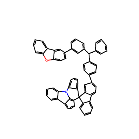 c1ccc(C(c2ccc(-c3ccc4c(c3)C3(c5ccccc5-4)c4ccccc4-n4c5ccccc5c5cccc3c54)cc2)c2cccc(-c3ccc4oc5ccccc5c4c3)c2)cc1